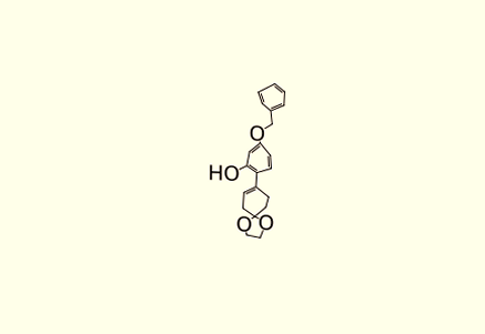 Oc1cc(OCc2ccccc2)ccc1C1=CCC2(CC1)OCCO2